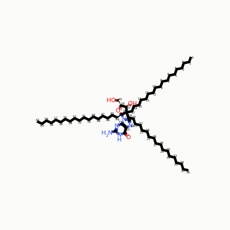 CCCCCCCCCCCCCCCCCCC1(CCCCCCCCCCCCCCCCCC)[C@H](O)[C@@H](CO)O[C@@]1(CCCCCCCCCCCCCCCCCC)n1cnc2c(=O)[nH]c(N)nc21